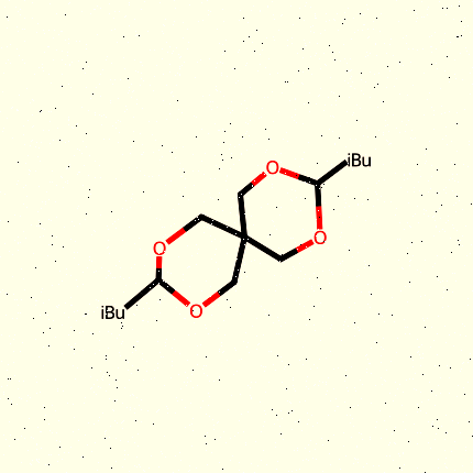 CCC(C)C1OCC2(CO1)COC(C(C)CC)OC2